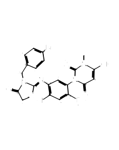 Cn1c(C(F)(F)F)cc(=O)n(-c2cc(/N=C3\SCC(=O)N3Cc3ccc(Br)cc3)c(Cl)cc2F)c1=O